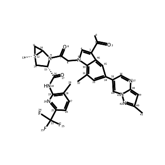 CC(=O)c1cn(CC(=O)N2C3C[S@]3(C)C[C@H]2C(=O)Nc2nc(C(F)(F)F)ccc2C)c2c(C)cc(-c3cnc4cc(C)nn4c3)cc12